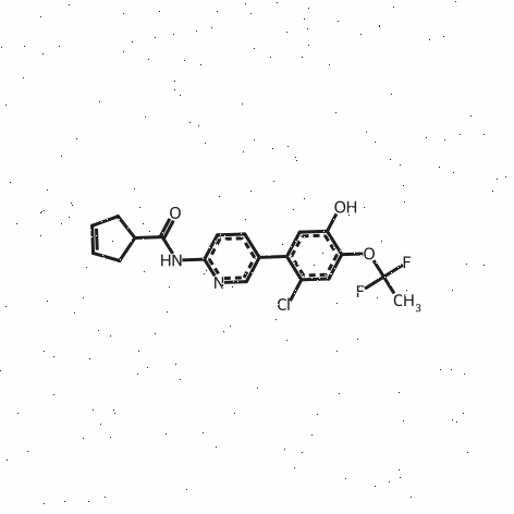 CC(F)(F)Oc1cc(Cl)c(-c2ccc(NC(=O)C3CC=CC3)nc2)cc1O